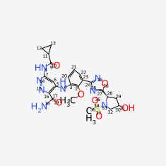 COc1c(Nc2cc(NC(=O)C3CC3)nnc2C(N)=O)cccc1-c1noc([C@H]2C[C@@H](O)CN2S(C)(=O)=O)n1